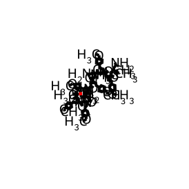 COc1ccc(CCN(CC(=O)N(CCc2ccc(OC)cc2)CC(=O)N(CCN)CC(=O)N(CCc2ccc(OC)cc2)CC(=O)N(CCc2ccc(OC)cc2)CC(=O)N(CCN)CC(=O)N(CCc2ccc(OC)cc2)CC(=O)N(CCc2ccc(OC)cc2)CC(=O)C(C)(C)C)C(=O)CC(CCN)C(C)(C)C)cc1